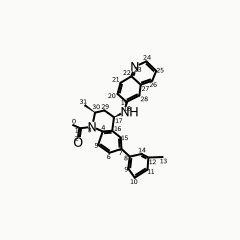 CC(=O)N1c2ccc(-c3cccc(C)c3)cc2[C@H](Nc2ccc3ncccc3c2)C[C@@H]1C